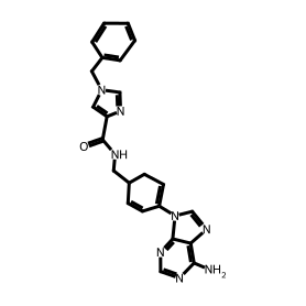 Nc1ncnc2c1ncn2C1=CCC(CNC(=O)c2cn(Cc3ccccc3)cn2)C=C1